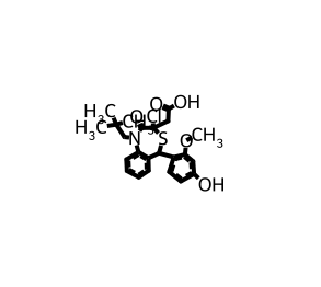 COc1cc(O)ccc1C1SC(Cl)(CC(=O)O)C(=O)N(CC(C)(C)C)c2ccccc21